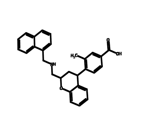 Cc1cc(C(=O)O)ccc1C1CC(CNCc2cccc3ccccc23)Oc2ccccc21